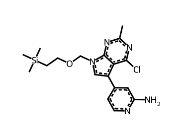 Cc1nc(Cl)c2c(-c3ccnc(N)c3)cn(COCC[Si](C)(C)C)c2n1